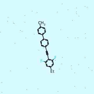 CCc1cc(F)c(C#Cc2ccc(-c3ccc(C)cc3)cc2)c(F)c1